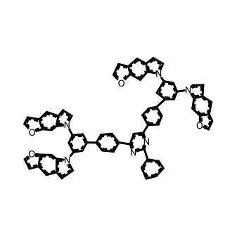 c1ccc(-c2nc(-c3ccc(-c4cc(-n5ccc6cc7ccoc7cc65)cc(-n5ccc6cc7ccoc7cc65)c4)cc3)cc(-c3ccc(-c4cc(-n5ccc6cc7ccoc7cc65)cc(-n5ccc6cc7ccoc7cc65)c4)cc3)n2)cc1